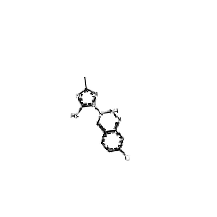 Cc1nc(S)n(N2C=c3ccc(Cl)cc3=NN2)n1